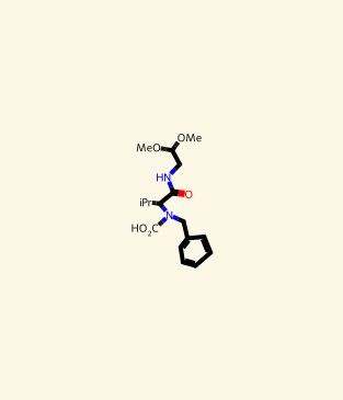 COC(CNC(=O)C(C(C)C)N(Cc1ccccc1)C(=O)O)OC